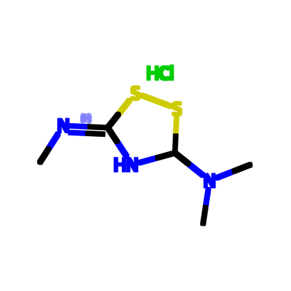 C/N=C1\NC(N(C)C)SS1.Cl